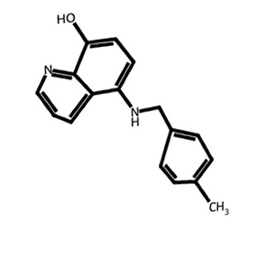 Cc1ccc(CNc2ccc(O)c3ncccc23)cc1